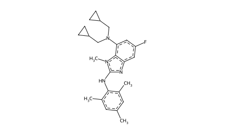 Cc1cc(C)c(Nc2nc3cc(F)cc(N(CC4CC4)CC4CC4)c3n2C)c(C)c1